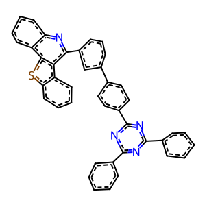 c1ccc(-c2nc(-c3ccccc3)nc(-c3ccc(-c4cccc(-c5nc6ccccc6c6sc7ccccc7c56)c4)cc3)n2)cc1